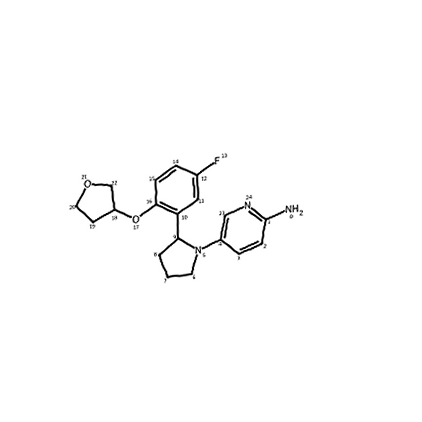 Nc1ccc(N2CCCC2c2cc(F)ccc2OC2CCOC2)cn1